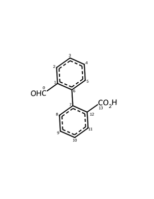 O=Cc1ccccc1-c1ccccc1C(=O)O